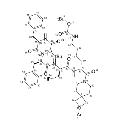 CC(=O)N1CC2(CCN(C(=O)[C@@H](CCCCNC(=O)OC(C)(C)C)NC(=O)[C@@H](CC(C)C)NC(=O)[C@@H](Cc3ccccc3)NC(=O)[C@@H](Cc3ccccc3)NC(=O)OC(C)(C)C)CC2)C1